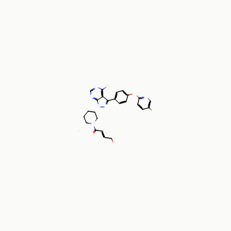 C[C@@H]1CC[C@H](n2nc(-c3ccc(Oc4ccc(Cl)cn4)cc3)c3c(N)ncnc32)CN1C(=O)/C=C/CO